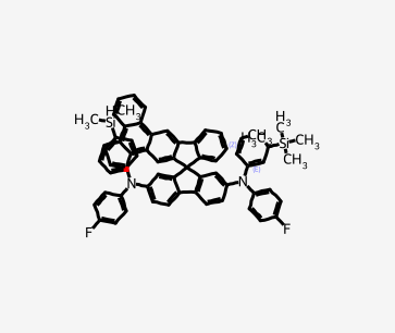 C/C=C\C(=C/C(C)[Si](C)(C)C)N(c1ccc(F)cc1)c1ccc2c(c1)C1(c3ccccc3-c3cc4c5ccccc5c5ccccc5c4cc31)c1cc(N(c3ccc(F)cc3)c3ccc([SiH](C)C)cc3)ccc1-2